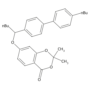 CCCCc1ccc(-c2ccc(C(CCCC)Oc3ccc4c(c3)OC(C)(C)OC4=O)cc2)cc1